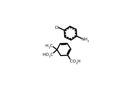 CC1(C(=O)O)C=CC=C(C(=O)O)C1.Nc1ccc(Cl)cc1